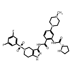 CN1CCN(c2ccc(C(=O)Nc3n[nH]c4c3CN(S(=O)(=O)c3cc(F)cc(F)c3)CC4)c(NC(=O)[C@@H]3CCCN3)c2)CC1